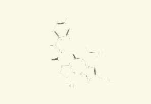 Cc1cn([C@H](C(=O)N2C[C@H](O)C[C@H]2C(=O)N[C@@H](C)c2ccc(F)cc2)C(C)C)nn1